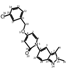 Cc1c2cc(-n3ccc(OCc4cccc(Cl)c4)cc3=O)ccc2nn1C